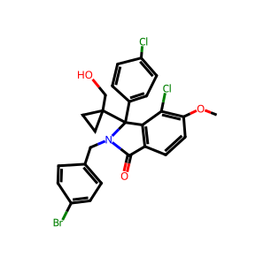 COc1ccc2c(c1Cl)C(c1ccc(Cl)cc1)(C1(CO)CC1)N(Cc1ccc(Br)cc1)C2=O